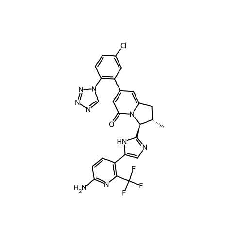 C[C@H]1Cc2cc(-c3cc(Cl)ccc3-n3cnnn3)cc(=O)n2[C@@H]1c1ncc(-c2ccc(N)nc2C(F)(F)F)[nH]1